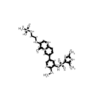 COc1ncc(-c2ccc3ncc(OCCOS(C)(=O)=O)c(=O)n3c2)cc1NS(=O)(=O)c1sc(C)nc1C